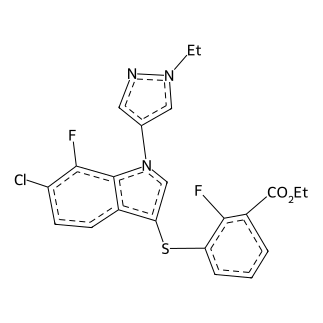 CCOC(=O)c1cccc(Sc2cn(-c3cnn(CC)c3)c3c(F)c(Cl)ccc23)c1F